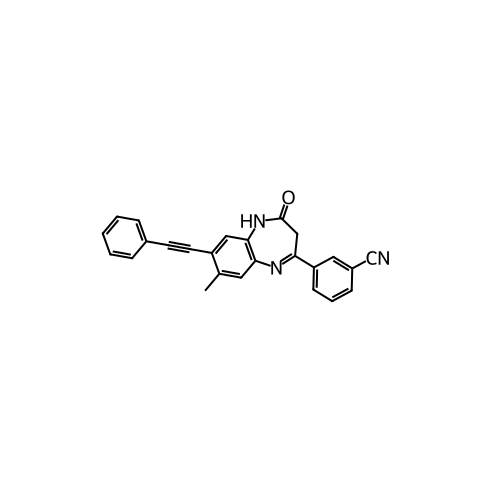 Cc1cc2c(cc1C#Cc1ccccc1)NC(=O)CC(c1cccc(C#N)c1)=N2